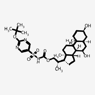 C[C@H](COC(=O)NS(=O)(=O)c1cnc(OC(C)(C)C)nc1)[C@H]1CC[C@H]2[C@@H]3[C@H](O)C[C@@H]4C[C@H](O)CC[C@]4(C)[C@H]3CC[C@]12C